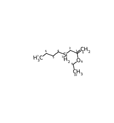 C=C(C[SiH2]CCCC)OCC